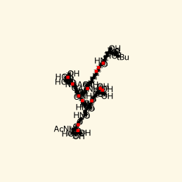 CC(=O)NC1C(OCCOCCNC(=O)CC[C@H](NC(=O)CCC[C@H](NC(=O)CCCC(=O)NCCCCCCCCCCCC(=O)NCCCCC(CO)COP(=O)(O)OC(C)(C)C)C(=O)NCCOCCOC2OC(CO)C(O)C(O)C2NC(C)=O)C(=O)NCCOCCOC2OC(CO)C(O)C(O)C2NC(C)=O)OC(CO)C(O)C1O